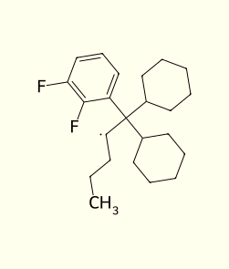 CCC[CH]C(c1cccc(F)c1F)(C1CCCCC1)C1CCCCC1